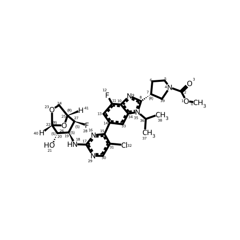 COC(=O)N1CC[C@@H](c2nc3c(F)cc(-c4nc(N[C@H]5[C@H](O)[C@@H]6OC[C@@H](O6)[C@H]5F)ncc4Cl)cc3n2C(C)C)C1